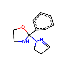 C1=NN(C2(c3ccccc3)NCCO2)CC1